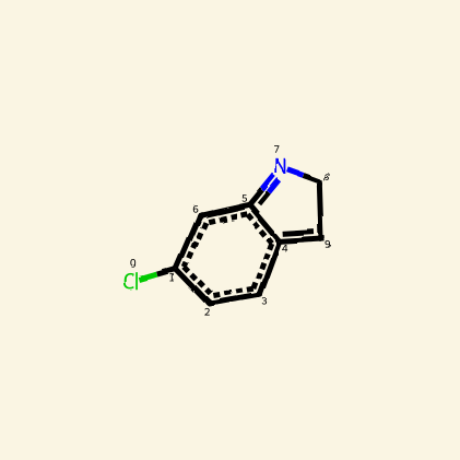 Clc1ccc2c(c1)=NCC=2